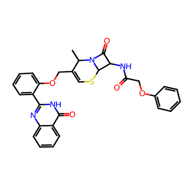 CC1C(COc2ccccc2-c2nc3ccccc3c(=O)[nH]2)=CSC2C(NC(=O)COc3ccccc3)C(=O)N12